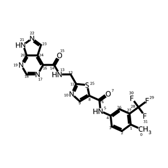 Cc1ccc(NC(=O)c2cnc(CNC(=O)c3ncnc4[nH]ncc34)s2)cc1C(F)(F)F